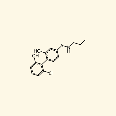 CCCNSc1ccc(-c2c(O)cccc2Cl)c(O)c1